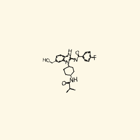 CC(C)C(=O)N[C@H]1CC[C@@H](n2/c(=N/C(=O)c3ccc(F)cc3)[nH]c3ccc(CO)cc32)CC1